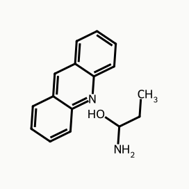 CCC(N)O.c1ccc2nc3ccccc3cc2c1